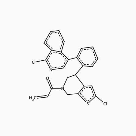 C=CC(=O)N1Cc2sc(Cl)cc2C(c2ccccc2-c2cnc(Cl)c3ccccc23)C1